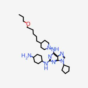 CCCOCCCCCC1CCN(Nc2nc(NC3CCC(N)CC3)nc3c2ncn3C2CCCC2)CC1